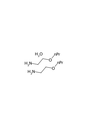 CCCOCCN.CCCOCCN.O